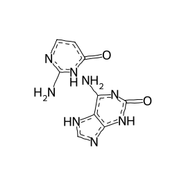 Nc1nc(=O)[nH]c2nc[nH]c12.Nc1nccc(=O)[nH]1